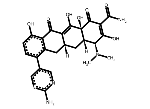 CN(C)[C@@H]1C(O)=C(C(N)=O)C(=O)[C@@]2(O)C(O)=C3C(=O)c4c(O)ccc(-c5cnc(N)nc5)c4C[C@H]3C[C@@H]12